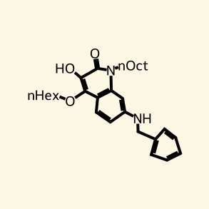 CCCCCCCCn1c(=O)c(O)c(OCCCCCC)c2ccc(NCc3ccccc3)cc21